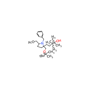 CC(=O)OCC1CCC(CCC(C)(C)[Si](C)(C)O)(CO[Si](C)(C)C(C)(C)C)N1Cc1ccccc1